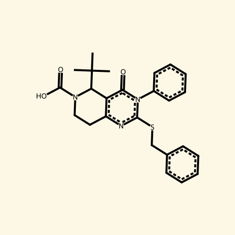 CC(C)(C)C1c2c(nc(SCc3ccccc3)n(-c3ccccc3)c2=O)CCN1C(=O)O